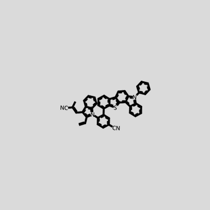 C=Cc1c(/C=C(\C)C#N)c2ccccc2n1-c1ccc(C#N)cc1-c1cccc2c1sc1c2ccc2c1c1ccccc1n2-c1ccccc1